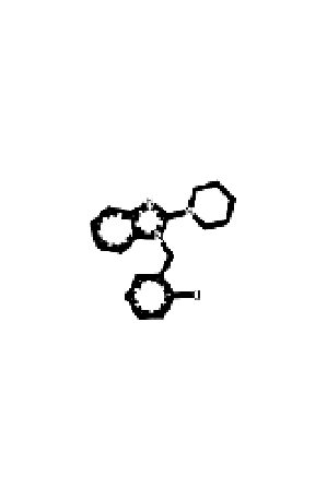 Clc1ccccc1Cn1c(N2CCCCC2)nc2ccccc21